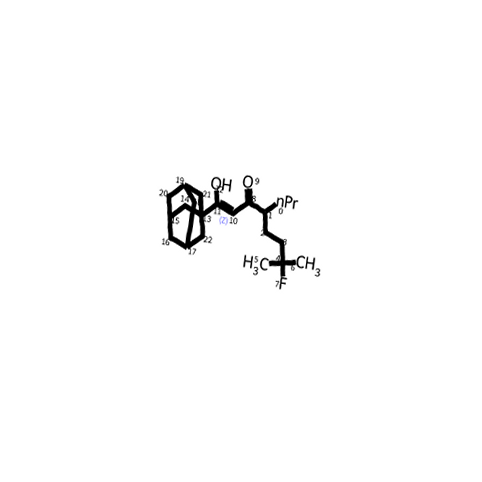 CCCC(CCC(C)(C)F)C(=O)/C=C(\O)C12CC3CC(CC(C3)C1)C2